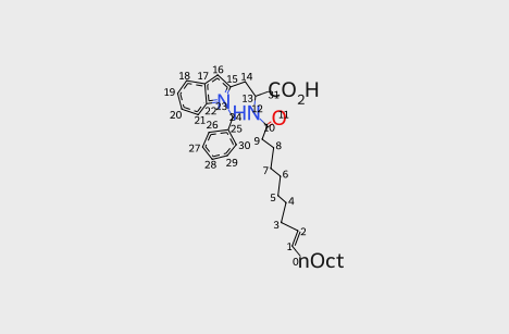 CCCCCCCC/C=C/CCCCCCCC(=O)NC(Cc1cc2ccccc2n1Cc1ccccc1)C(=O)O